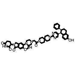 O=C1CCC(N2Cc3cc4c(cc3C2=O)OC[C@@H]2CN(CC(=O)N3CCC5(CC3)CCN(c3ncc([C@@H]6c7ccc(O)cc7CC[C@@H]6c6ccccc6)cn3)CC5)CCN42)C(=O)N1